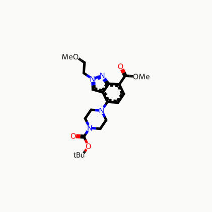 COCCn1cc2c(N3CCN(C(=O)OC(C)(C)C)CC3)ccc(C(=O)OC)c2n1